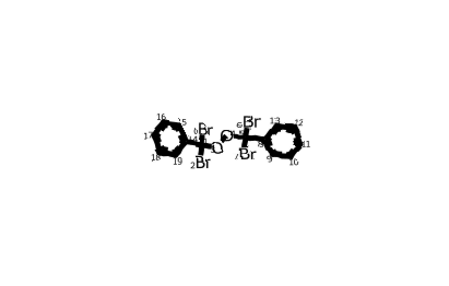 BrC(Br)(OOC(Br)(Br)c1ccccc1)c1ccccc1